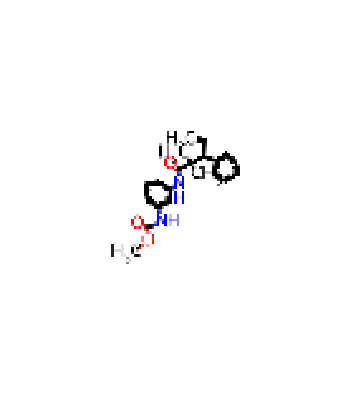 C=CC(c1ccccc1)C(C)(C)C(=O)Nc1cccc(NC(=O)OC)c1